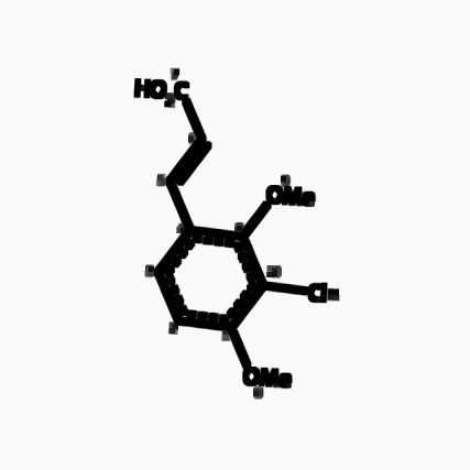 COc1ccc(/C=C/C(=O)O)c(OC)c1Cl